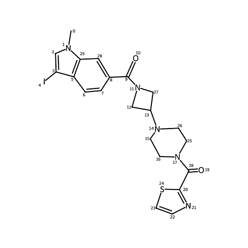 Cn1cc(I)c2ccc(C(=O)N3CC(N4CCN(C(=O)c5nccs5)CC4)C3)cc21